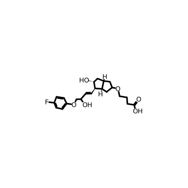 O=C(O)CCCOC1C[C@H]2C[C@@H](O)[C@H](C=CC(O)COc3ccc(F)cc3)[C@@H]2C1